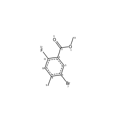 COC(=O)c1cc(Br)c(C)cc1F